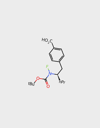 CCC[C@H](Cc1ccc(C(=O)O)cc1)N(F)C(=O)OC(C)(C)C